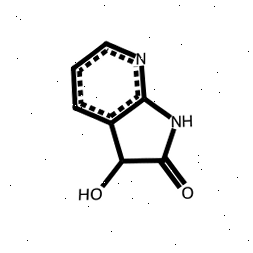 O=C1Nc2ncccc2C1O